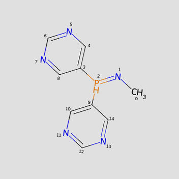 CN=[PH](c1cncnc1)c1cncnc1